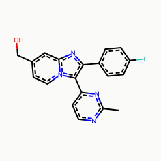 Cc1nccc(-c2c(-c3ccc(F)cc3)nc3cc(CO)ccn23)n1